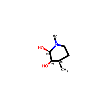 CC(=O)N1CC[C@@H](C)[C@@H](O)[C@H]1O